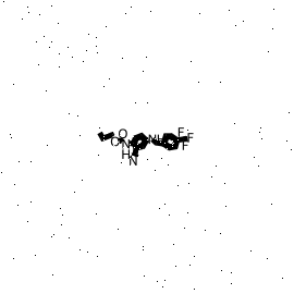 CCCOC(=O)Nc1ccc(NCc2ccc(C(F)(F)F)cc2)cc1C#N